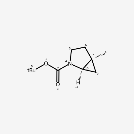 CC(C)(C)OC(=O)N1CC[C@@]2(C)C[C@@H]12